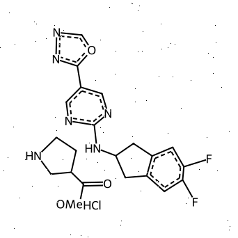 COC(=O)C1CCNC1.Cl.Fc1cc2c(cc1F)CC(Nc1ncc(-c3nnco3)cn1)C2